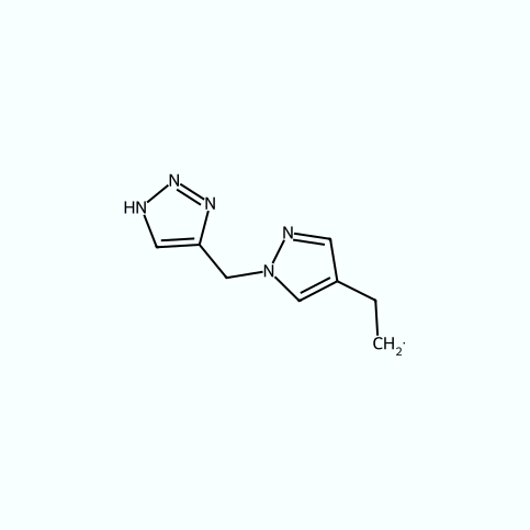 [CH2]Cc1cnn(Cc2c[nH]nn2)c1